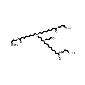 CCCCCC/C=C\COC(=O)CCCCCCCN(CCCCCCCC(=O)OC/C=C\CCCCCC)CCCN(CCCO)CCCCCCCC(=C=O)OC/C=C\CCCCCC